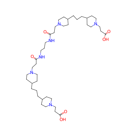 O=C(O)CCN1CCC(CCCC2CCN(CCC(=O)NCCCNC(=O)CCN3CCC(CCCC4CCN(CCC(=O)O)CC4)CC3)CC2)CC1